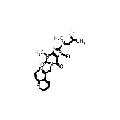 CCn1c(N(C)CC(C)N)nc2c1c(=O)n(Cc1nccc3ncccc13)c(=O)n2C